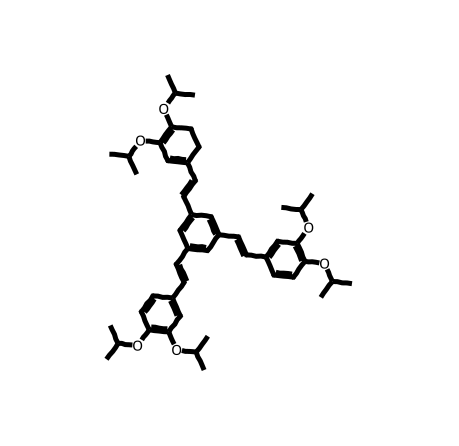 CC(C)OC1=C(OC(C)C)CCC(/C=C/c2cc(/C=C/c3ccc(OC(C)C)c(OC(C)C)c3)cc(/C=C/c3ccc(OC(C)C)c(OC(C)C)c3)c2)=C1